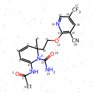 CCC(=O)NC1=CC=CC(C)(CCOc2ncc(C(F)(F)F)cc2C#N)N1C(N)=O